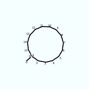 CN1CCCCCCCCCCCCCC1